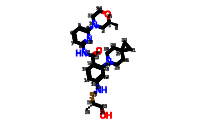 C[C@H]1CN(c2cccc(NC(=O)c3ccc(NS[C@@H](C)CO)cc3N3CCC4(CC3)CC4)n2)CCO1